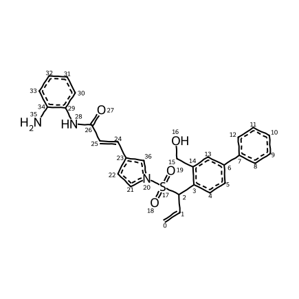 C=CC(c1ccc(-c2ccccc2)cc1CO)S(=O)(=O)n1ccc(/C=C/C(=O)Nc2ccccc2N)c1